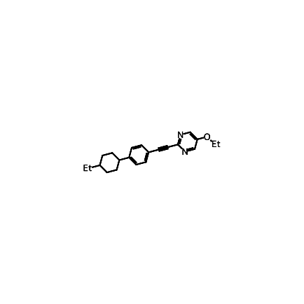 CCOc1cnc(C#Cc2ccc(C3CCC(CC)CC3)cc2)nc1